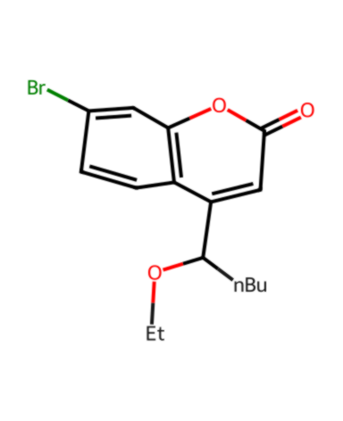 CCCCC(OCC)c1cc(=O)oc2cc(Br)ccc12